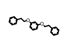 c1ccc(CCOc2cccc(OCCc3ccccc3)c2)cc1